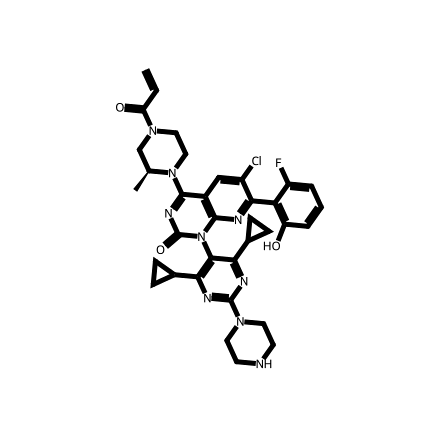 C=CC(=O)N1CCN(c2nc(=O)n(-c3c(C4CC4)nc(N4CCNCC4)nc3C3CC3)c3nc(-c4c(O)cccc4F)c(Cl)cc23)[C@@H](C)C1